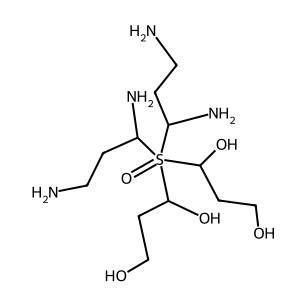 NCCC(N)S(=O)(C(N)CCN)(C(O)CCO)C(O)CCO